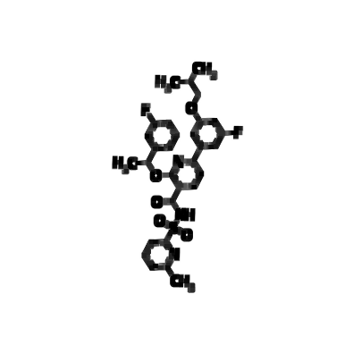 Cc1cccc(S(=O)(=O)NC(=O)c2ccc(-c3cc(F)cc(OCC(C)C)c3)nc2OC(C)c2cccc(F)c2)n1